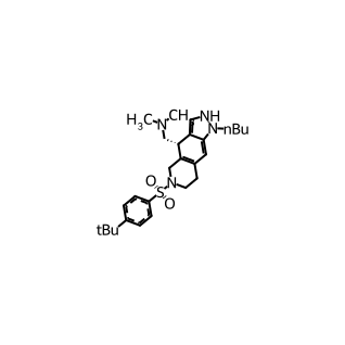 CCCCN1NC=C2C1=CC1=C(CN(S(=O)(=O)c3ccc(C(C)(C)C)cc3)CC1)[C@@H]2CN(C)C